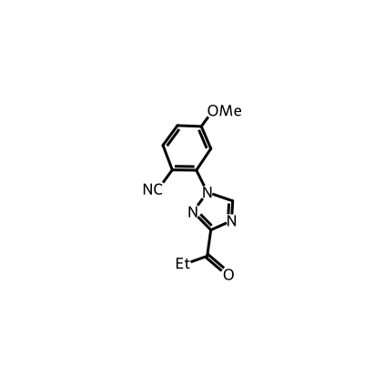 CCC(=O)c1ncn(-c2cc(OC)ccc2C#N)n1